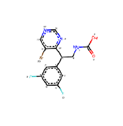 O=C(O)NCC(c1cc(F)cc(F)c1)c1ncncc1Br